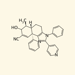 C[C@@H]1C(O)C(C#N)=C[C@]2(c3ccccc3)c3nc(-c4ccncc4)n(-c4ccccc4)c3CC[C@@H]12